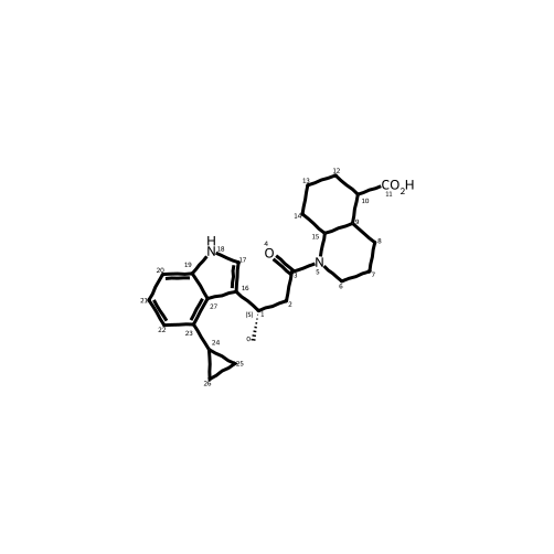 C[C@@H](CC(=O)N1CCCC2C(C(=O)O)CCCC21)c1c[nH]c2cccc(C3CC3)c12